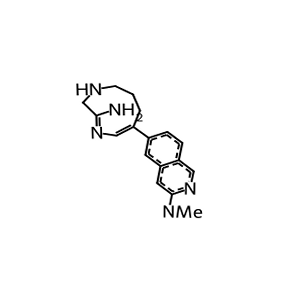 CNc1cc2cc(/C3=C/N=C(\N)CNCCC3)ccc2cn1